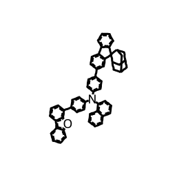 c1ccc2c(c1)-c1ccc(-c3ccc(N(c4ccc(-c5cccc6c5oc5ccccc56)cc4)c4cccc5ccccc45)cc3)cc1C21C2CC3CC(C2)CC1C3